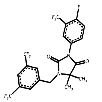 CC1(C)C(=O)N(c2ccc(F)c(C(F)(F)F)c2)C(=O)N1Cc1cc(C(F)(F)F)cc(C(F)(F)F)c1